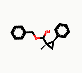 C[C@@]1(C(O)OCc2ccccc2)C[C@@H]1c1ccccc1